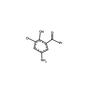 CC(C)C(=O)c1cc(N)cc(Cl)c1O